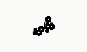 O=C(Nc1ccc2c(=O)[nH]ccc2c1)c1cccnc1Sc1ccccc1